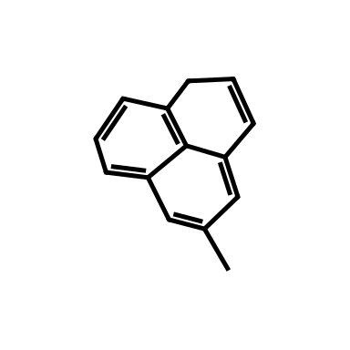 Cc1cc2c3c(cccc3c1)CC=C2